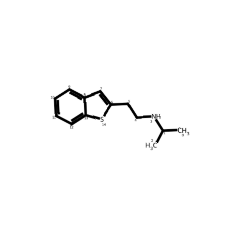 CC(C)NCCc1cc2ccccc2s1